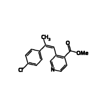 COC(=O)c1ccncc1C=C(C)c1ccc(Cl)cc1